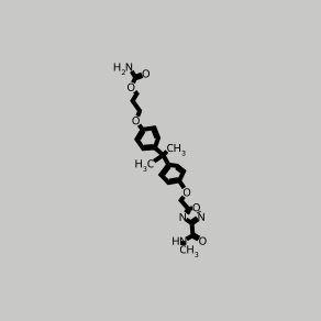 CNC(=O)c1noc(COc2ccc(C(C)(C)c3ccc(OCCCOC(N)=O)cc3)cc2)n1